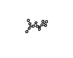 c1ccc(-c2ccc(N(c3ccc(-c4ccccc4)cc3)c3cccc(-c4ccccc4-c4ccc5c6ccccc6n(-c6ccc7c(c6)-c6ccccc6C7(c6ccccc6)c6ccccc6)c5c4)c3)cc2)cc1